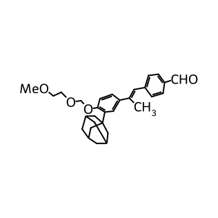 COCCOCOc1ccc(C(C)=Cc2ccc(C=O)cc2)cc1C12CC3CC(CC(C3)C1)C2